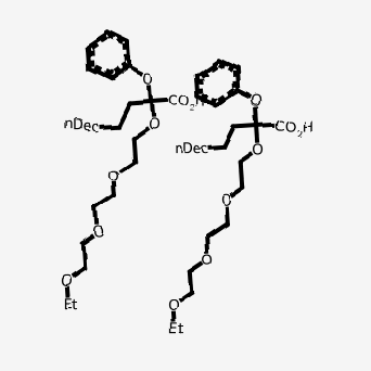 CCCCCCCCCCCCC(OCCOCCOCCOCC)(Oc1ccccc1)C(=O)O.CCCCCCCCCCCCC(OCCOCCOCCOCC)(Oc1ccccc1)C(=O)O